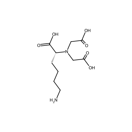 NCCCC[C@H](C(=O)O)N(CC(=O)O)CC(=O)O